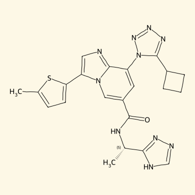 Cc1ccc(-c2cnc3c(-n4nnnc4C4CCC4)cc(C(=O)N[C@@H](C)c4nnc[nH]4)cn23)s1